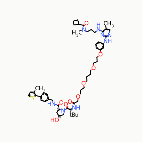 Cc1cnc(Nc2cccc(OCCCOCCCCOCCCOCC(=O)N[C@H](C(=O)N3C[C@H](O)C[C@H]3C(=O)NCc3ccc(-c4sccc4C)cc3)C(C)(C)C)c2)nc1NCCCN(C)C(=O)C1CCC1